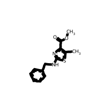 COC(=O)c1nc(NCc2ccccc2)sc1C